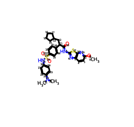 COc1ccc2nc(NC(=O)C(CC3CCCC3)c3ccc(S(=O)(=O)Nc4ccc(N(C)C)cc4)cc3)sc2n1